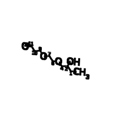 CCC(O)COCCOCCC=O